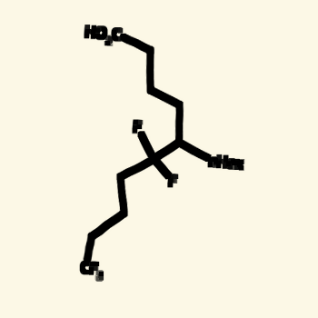 CCCCCCC(CCCC(=O)O)C(F)(F)CCCC(F)(F)F